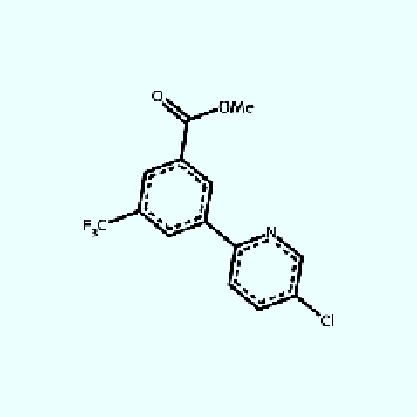 COC(=O)c1cc(-c2ccc(Cl)cn2)cc(C(F)(F)F)c1